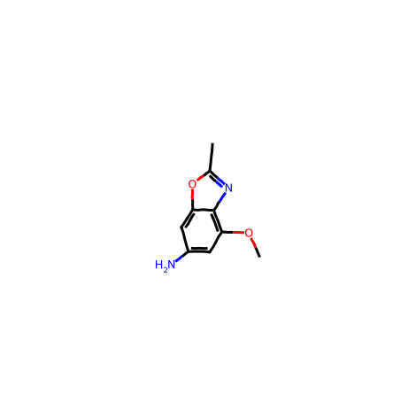 COc1cc(N)cc2oc(C)nc12